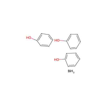 Oc1ccccc1.Oc1ccccc1.Oc1ccccc1.[BiH3]